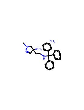 CN1CC(N)(CCNC(c2ccccc2)(c2ccccc2)c2ccccc2)C=N1.N